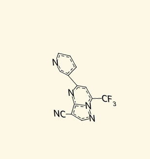 N#Cc1cnn2c(C(F)(F)F)cc(-c3cccnc3)nc12